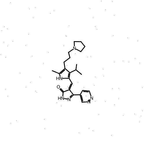 Cc1[nH]c(C=C2C(=O)NN=C2c2ccnnc2)c(C(C)C)c1CCCN1CCCC1